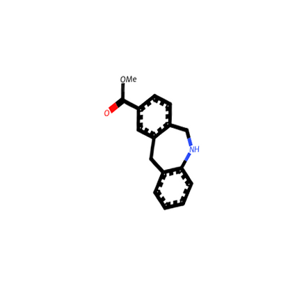 COC(=O)c1ccc2c(c1)Cc1ccccc1NC2